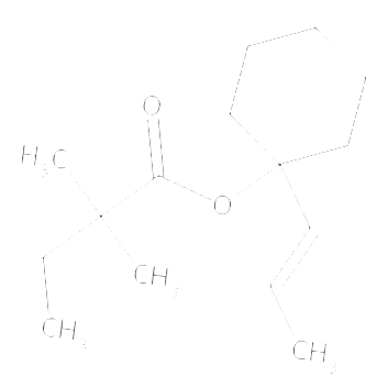 C/C=C/C1(OC(=O)C(C)(C)CC)CCCCC1